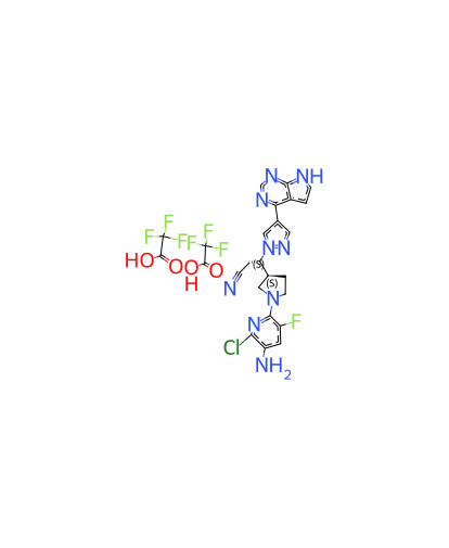 N#CC[C@@H]([C@H]1CCN(c2nc(Cl)c(N)cc2F)C1)n1cc(-c2ncnc3[nH]ccc23)cn1.O=C(O)C(F)(F)F.O=C(O)C(F)(F)F